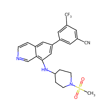 CS(=O)(=O)N1CCC(Nc2cc(-c3cc(C#N)cc(C(F)(F)F)c3)cc3ccncc23)CC1